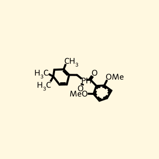 COc1cccc(OC)c1C(=O)[PH](=O)CC1=C(C)CC(C)(C)C=C1